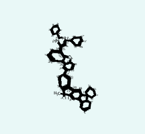 CC1(C)C2=CC3C4=CC=CCC4C4(CCCCC4)C3C=C2c2cc(-c3ccc4c(c3)C3C=CC=C(C5C=C(c6ccccc6)NC(c6ccccc6)N5)C3O4)ccc21